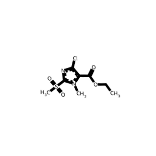 CCOC(=O)c1c(Cl)nc(S(C)(=O)=O)n1C